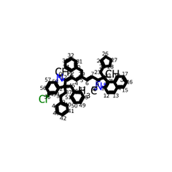 CN1/C(=C/C=C(/C=C/C2=[N+](C)c3ccc4ccccc4c3C2(C)CC2=CCCC2)Cc2ccccc2)C(CCc2ccccc2)(Cc2ccccc2)c2cc(Cl)ccc21